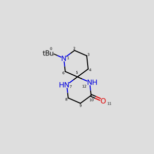 CC(C)(C)N1CCCC2(C1)NCCC(=O)N2